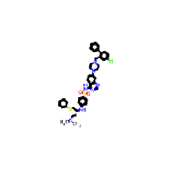 CN(C)CC[C@H](CSc1ccccc1)Nc1ccc(S(=O)(=O)Nc2ncnc3cc(N4CCN(Cc5cc(Cl)ccc5-c5ccccc5)CC4)ccc23)cc1